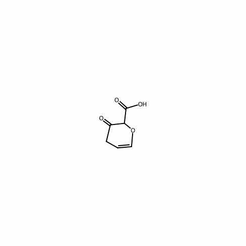 O=C(O)C1OC=CCC1=O